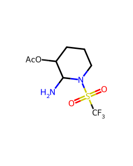 CC(=O)OC1CCCN(S(=O)(=O)C(F)(F)F)C1N